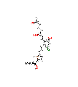 COC(=O)c1ccc(CCC[C@@H]2[C@@H](C=C[C@@H](O)CCC[C@H](C)O)[C@H](O)C[C@H]2Cl)s1